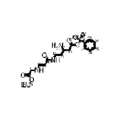 CC(C)(C)OC(=O)CNCCC(=O)NCCC(N)CC(=O)OS(=O)(=O)c1ccccc1